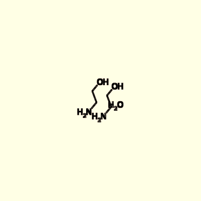 NCCO.NCCO.O